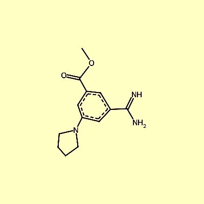 COC(=O)c1cc(C(=N)N)cc(N2CCCC2)c1